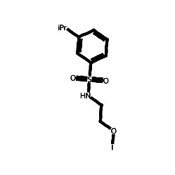 CC(C)c1cccc(S(=O)(=O)NCCOI)c1